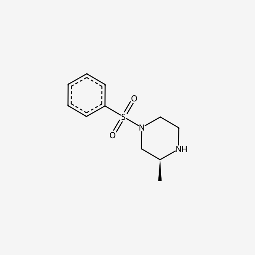 C[C@H]1CN(S(=O)(=O)c2ccccc2)CCN1